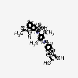 COc1cc(/N=N/c2ccc(S(=O)(=O)N(CCO)CCO)cc2)c(C)cc1/N=N/c1c(S(=O)(=O)O)cc2cccc(NC(C)=O)c2c1O